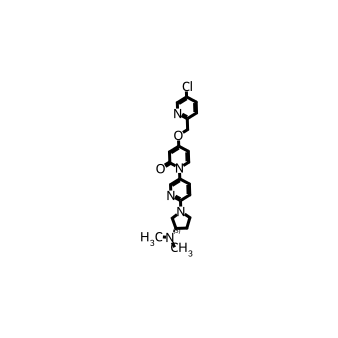 CN(C)[C@H]1CCN(c2ccc(-n3ccc(OCc4ccc(Cl)cn4)cc3=O)cn2)C1